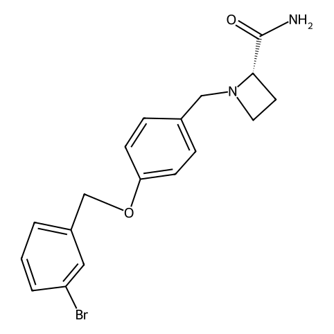 NC(=O)[C@@H]1CCN1Cc1ccc(OCc2cccc(Br)c2)cc1